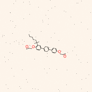 CCCCCC(C)(C)c1cc(C2=CCC(c3ccc(OCC4CO4)cc3)=CC2)ccc1OCC1CO1